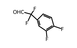 O=CC(F)(F)c1ccc(F)c(F)c1